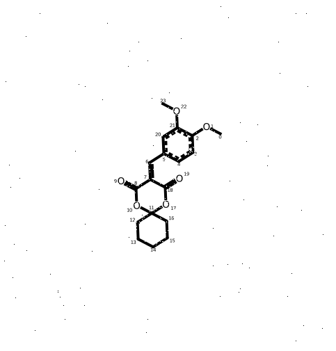 COc1ccc(C=C2C(=O)OC3(CCCCC3)OC2=O)cc1OC